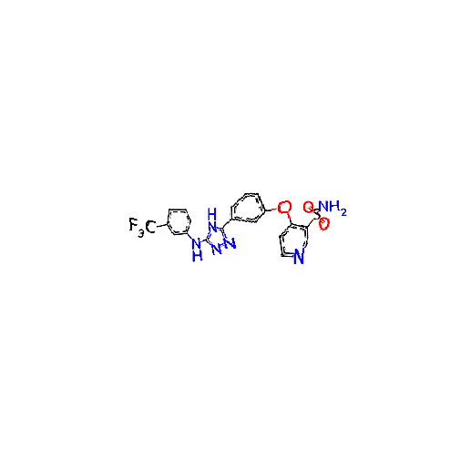 NS(=O)(=O)c1cnccc1Oc1cccc(-c2nnc(Nc3cccc(C(F)(F)F)c3)[nH]2)c1